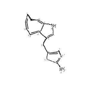 Nc1ncc(Cc2c[nH]c3ccccc23)s1